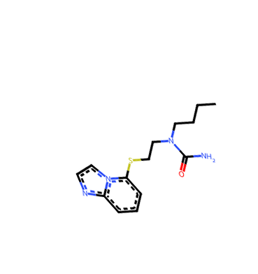 CCCCN(CCSc1cccc2nccn12)C(N)=O